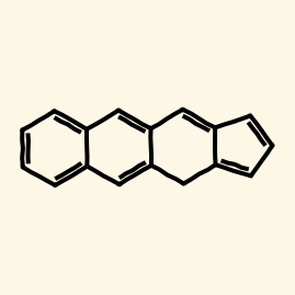 C1=CC2=Cc3cc4ccccc4cc3CC2=C1